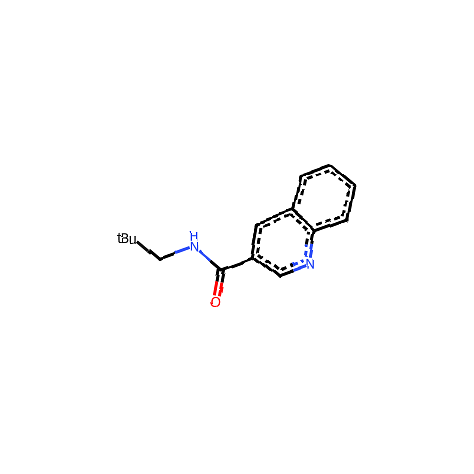 CC(C)(C)CNC(=O)c1cnc2ccccc2c1